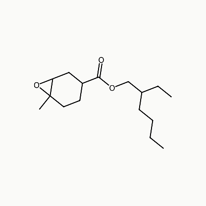 CCCCC(CC)COC(=O)C1CCC2(C)OC2C1